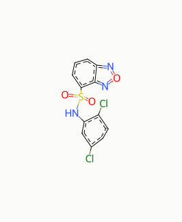 O=S(=O)(Nc1cc(Cl)ccc1Cl)c1cccc2nonc12